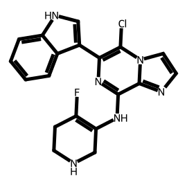 FC1=C(Nc2nc(-c3c[nH]c4ccccc34)c(Cl)n3ccnc23)CNCC1